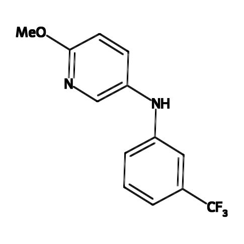 COc1ccc(Nc2cccc(C(F)(F)F)c2)cn1